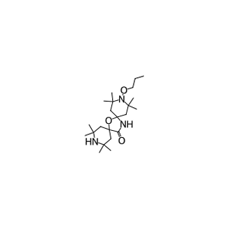 CCCON1C(C)(C)CC2(CC1(C)C)NC(=O)C1(CC(C)(C)NC(C)(C)C1)O2